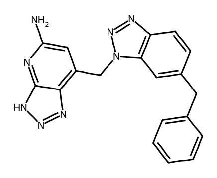 Nc1cc(Cn2nnc3ccc(Cc4ccccc4)cc32)c2nn[nH]c2n1